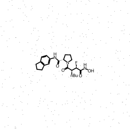 CCCC[C@@H](C(=O)N1CCC[C@H]1C(=O)Nc1ccc2c(c1)CCC2)[C@@H](F)C(=O)NO